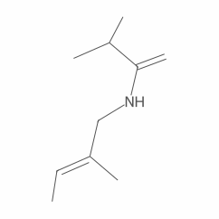 C=C(NC/C(C)=C/C)C(C)C